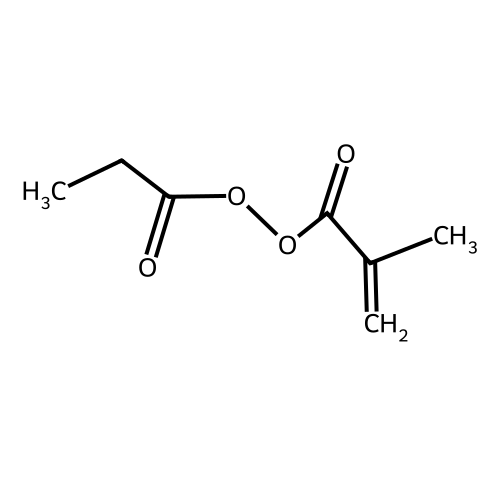 C=C(C)C(=O)OOC(=O)CC